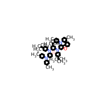 Cc1ccc(N(c2ccc(C)cc2)c2ccc3c(c2)N(c2ccc(C(C)(C)C)cc2)c2cc(C(C)(C)C)cc4c2B3c2cc(C(C)(C)C)ccc2N4c2cc(N(c3ccc(C)cc3)c3ccc(C)cc3)c3c(c2)oc2ccccc23)cc1